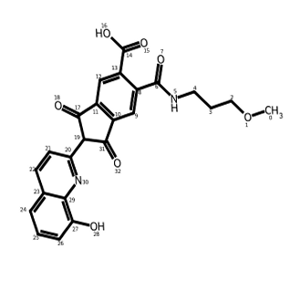 COCCCNC(=O)c1cc2c(cc1C(=O)O)C(=O)C(c1ccc3cccc(O)c3n1)C2=O